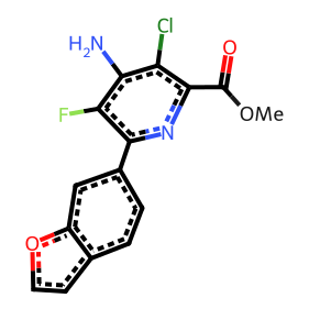 COC(=O)c1nc(-c2ccc3ccoc3c2)c(F)c(N)c1Cl